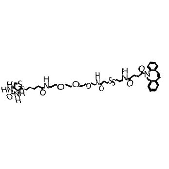 O=C(CCCC[C@@H]1SC[C@@H]2NC(=O)N[C@@H]21)NCCOCCOCCOCCNC(=O)CCSSCCNC(=O)CCC(=O)N1Cc2ccccc2C#Cc2ccccc21